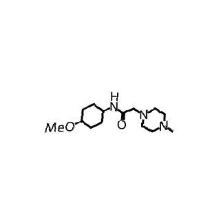 CO[C@H]1CC[C@@H](NC(=O)CN2CCN(C)CC2)CC1